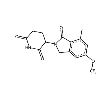 Cc1cc(OC(F)(F)F)cc2c1C(=O)N(C1CCC(=O)NC1=O)C2